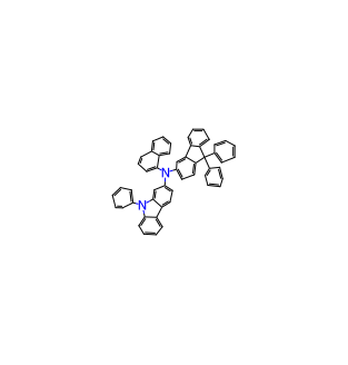 c1ccc(-n2c3ccccc3c3ccc(N(c4ccc5c(c4)-c4ccccc4C5(c4ccccc4)c4ccccc4)c4cccc5ccccc45)cc32)cc1